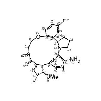 COc1c2c(nn1C)C(=O)N(C)CCOc1ccc(F)cc1[C@H]1CCCN1c1nc-2nnc1N